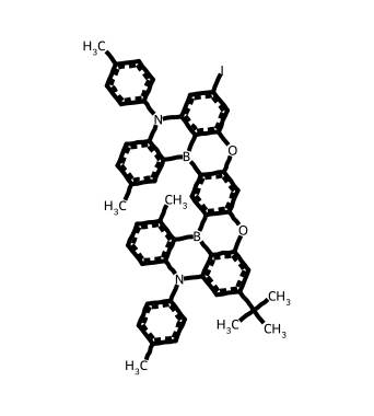 Cc1ccc(N2c3ccc(C)cc3B3c4cc5c(cc4Oc4cc(I)cc2c43)Oc2cc(C(C)(C)C)cc3c2B5c2c(C)cccc2N3c2ccc(C)cc2)cc1